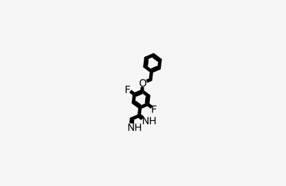 N=CC(=N)c1cc(F)c(OCc2ccccc2)cc1F